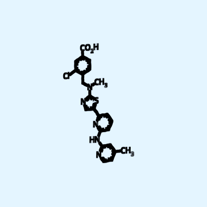 Cc1ccnc(Nc2cccc(-c3cnc(N(C)Cc4ccc(C(=O)O)cc4Cl)s3)n2)c1